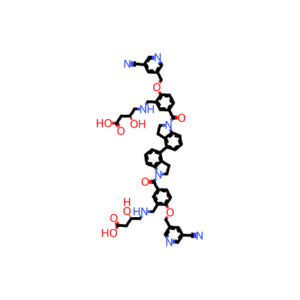 N#Cc1cncc(COc2ccc(C(=O)N3CCc4c(-c5cccc6c5CCN6C(=O)c5ccc(OCc6cncc(C#N)c6)c(CNC[C@@H](O)CC(=O)O)c5)cccc43)cc2CNC[C@@H](O)CC(=O)O)c1